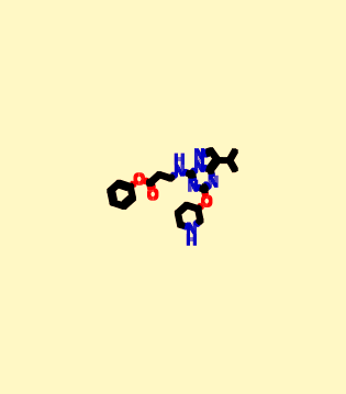 CC(C)c1cnn2c(NCCC(=O)Oc3ccccc3)nc(OC3CCCNC3)nc12